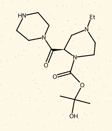 CCN1CCN(C(=O)OC(C)(C)O)[C@@H](C(=O)N2CCNCC2)C1